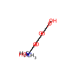 C[N+](C)(CCO)CCCCCCCCCCCOC(=O)CCCCCCCCCCC(=O)OCCCCCCCCCCCOCCO